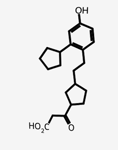 O=C(O)CC(=O)C1CCC(CCc2ccc(O)cc2C2CCCC2)C1